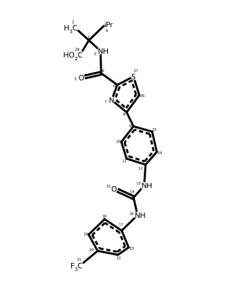 CC(C)C(C)(NC(=O)c1nc(-c2ccc(NC(=O)Nc3ccc(C(F)(F)F)cc3)cc2)cs1)C(=O)O